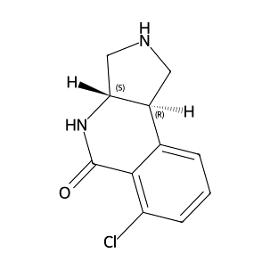 O=C1N[C@@H]2CNC[C@H]2c2cccc(Cl)c21